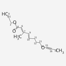 C#CCOC(=O)/C=C(C)/C=C/CCCOC#CC